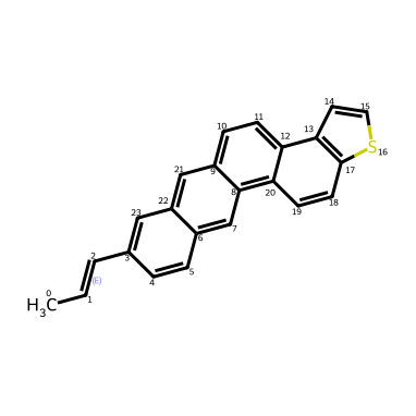 C/C=C/c1ccc2cc3c(ccc4c5ccsc5ccc34)cc2c1